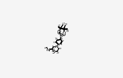 CN=C1CN(c2ccc(B3OC(C)(C)C(C)(C)O3)cc2)CCS1